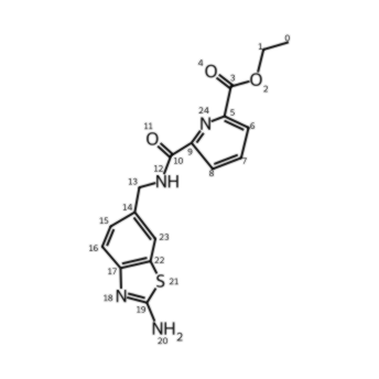 CCOC(=O)c1cccc(C(=O)NCc2ccc3nc(N)sc3c2)n1